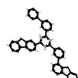 C1=CCC2C(=C1)Cc1c(-c3cccc(-c4nc(-c5cccc(-c6ccccc6)c5)nc(-c5ccc6c(c5)Cc5ccccc5-6)n4)c3)cccc12